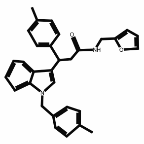 Cc1ccc(Cn2cc(C(CC(=O)NCc3ccco3)c3ccc(C)cc3)c3ccccc32)cc1